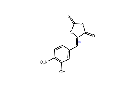 O=C1NC(=S)S/C1=C\c1ccc([N+](=O)[O-])c(O)c1